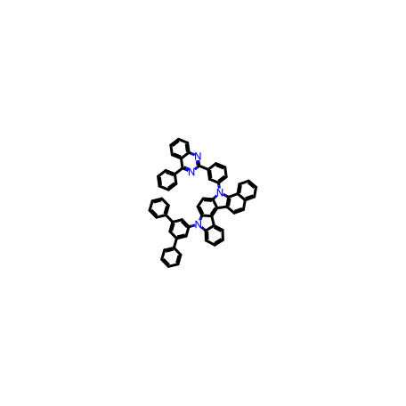 c1ccc(-c2cc(-c3ccccc3)cc(-n3c4ccccc4c4c5c6ccc7ccccc7c6n(-c6cccc(-c7nc(-c8ccccc8)c8ccccc8n7)c6)c5ccc43)c2)cc1